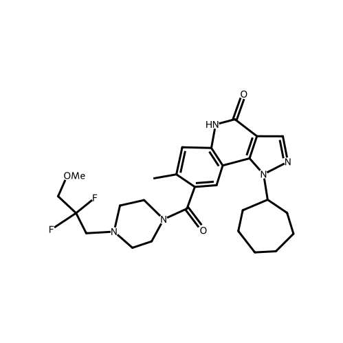 COCC(F)(F)CN1CCN(C(=O)c2cc3c(cc2C)[nH]c(=O)c2cnn(C4CCCCCC4)c23)CC1